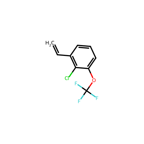 C=Cc1cccc(OC(F)(F)F)c1Cl